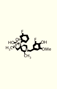 COc1cc(CN2CC[C@@]3(C[C@@H]2C)CN(C)S(O)(O)N3c2cccc(F)c2)cc(F)c1O